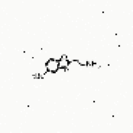 CC(C)(C)c1ccc2oc(CCN)nc2c1